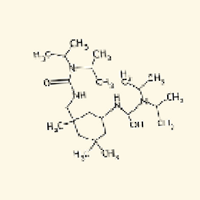 CC(C)N(C(=O)NCC1(C)CC(NC(O)N(C(C)C)C(C)C)CC(C)(C)C1)C(C)C